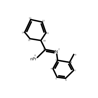 CCC/C(=N\c1ccccc1C)C1C=CC=CC1